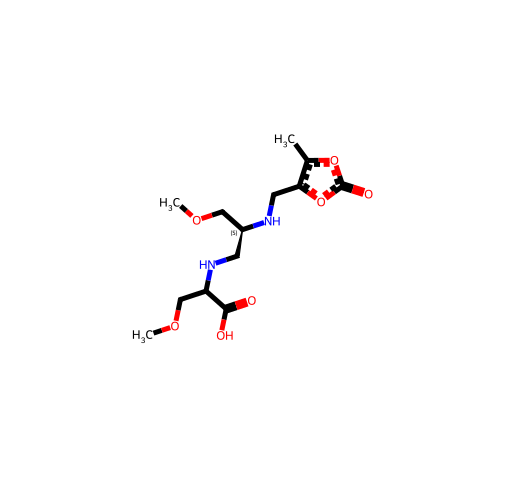 COCC(NC[C@@H](COC)NCc1oc(=O)oc1C)C(=O)O